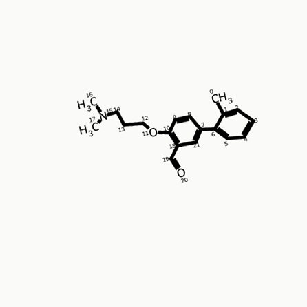 Cc1ccccc1-c1ccc(OCCCN(C)C)c(C=O)c1